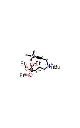 CCCCN(CC#C[Si](C)(C)C)CCC[Si](OCC)(OCC)OCC